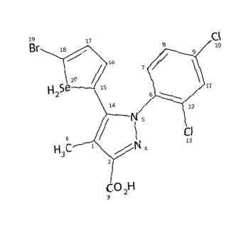 Cc1c(C(=O)O)nn(-c2ccc(Cl)cc2Cl)c1C1=CC=C(Br)[SeH2]1